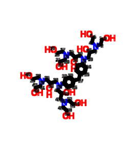 OCCN(CCO)CC(O)CN(CC(O)CN(CCO)CCO)c1ccc(Cc2ccc(N(CC(O)CN(CCO)CCO)CC(O)CN(CCO)CCO)cc2)cc1